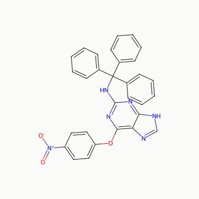 O=[N+]([O-])c1ccc(Oc2nc(NC(c3ccccc3)(c3ccccc3)c3ccccc3)nc3[nH]cnc23)cc1